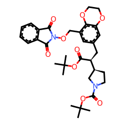 CC(C)(C)OC(=O)[C@@H](Cc1cc(CON2C(=O)c3ccccc3C2=O)c2c(c1)OCCO2)[C@H]1CCN(C(=O)OC(C)(C)C)C1